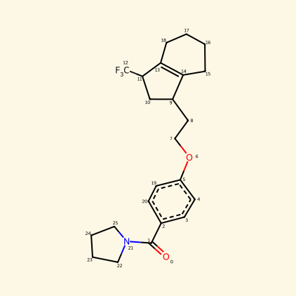 O=C(c1ccc(OCCC2CC(C(F)(F)F)C3=C2CCCC3)cc1)N1CCCC1